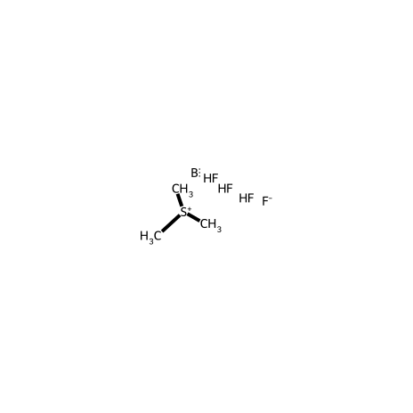 C[S+](C)C.F.F.F.[B].[F-]